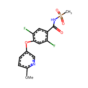 COc1ccc(Oc2cc(F)c(C(=O)NS(C)(=O)=O)cc2F)cn1